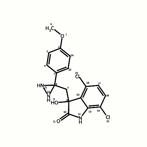 COc1ccc(C2(CC3(O)C(=O)Nc4c(Cl)ccc(Cl)c43)NN2)cc1